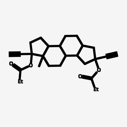 C#CC1(OC(=O)CC)CC2CCC3C(CCC4(C)C3CCC4(C#C)OC(=O)CC)C2C1